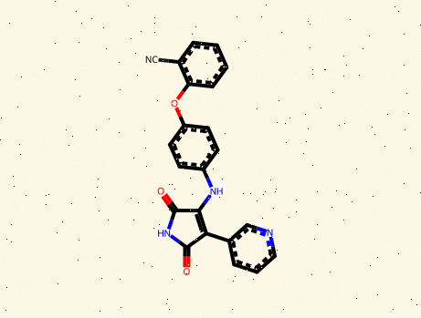 N#Cc1ccccc1Oc1ccc(NC2=C(c3cccnc3)C(=O)NC2=O)cc1